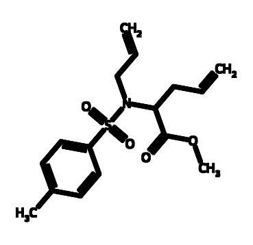 C=CCC(C(=O)OC)N(CC=C)S(=O)(=O)c1ccc(C)cc1